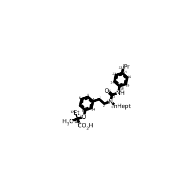 CCCCCCCN(CCc1cccc(O[C@](C)(CC)C(=O)O)c1)C(=O)Nc1ccc(C(C)C)cc1